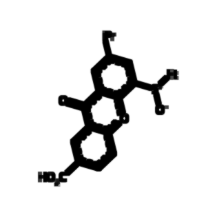 CC[S+]([O-])c1cc(C(C)C)cc2c(=O)c3cc(C(=O)O)ccc3oc12